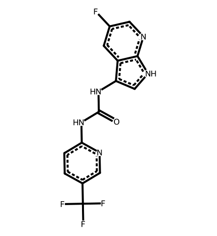 O=C(Nc1ccc(C(F)(F)F)cn1)Nc1c[nH]c2ncc(F)cc12